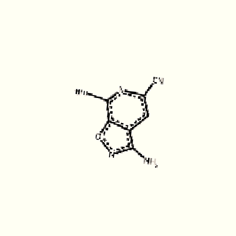 CC(C)(C)c1nc(C#N)cc2c(N)noc12